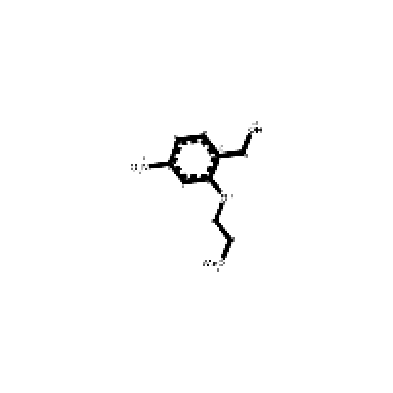 COCCOc1cc([N+](=O)[O-])ccc1CO